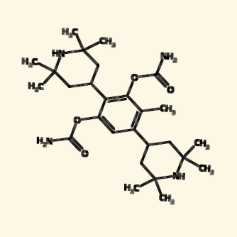 Cc1c(C2CC(C)(C)NC(C)(C)C2)cc(OC(N)=O)c(C2CC(C)(C)NC(C)(C)C2)c1OC(N)=O